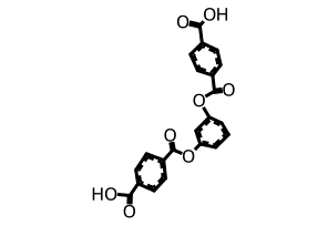 O=C(O)c1ccc(C(=O)Oc2cccc(OC(=O)c3ccc(C(=O)O)cc3)c2)cc1